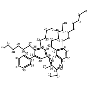 CCCCCCCCc1ccc(N=C(CC)C(C)=Nc2cc(CCCC)c(CCCCCC)c(-c3ccccc3)c2)cc1CCCCCC